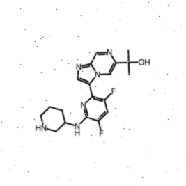 CC(C)(O)c1cn2c(-c3nc(NC4CCCNC4)c(F)cc3F)cnc2cn1